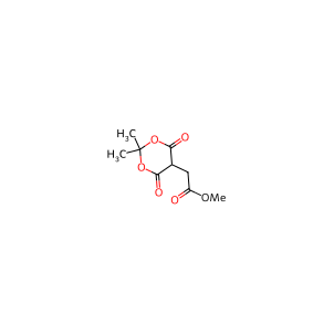 COC(=O)CC1C(=O)OC(C)(C)OC1=O